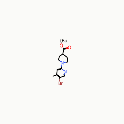 Cc1cc(N2CCC(C(=O)OC(C)(C)C)CC2)ncc1Br